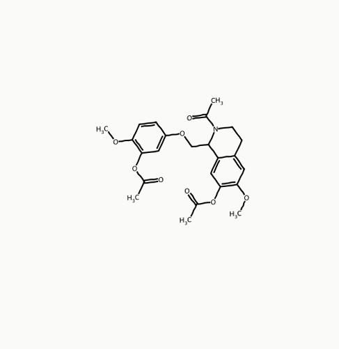 COc1ccc(OCC2c3cc(OC(C)=O)c(OC)cc3CCN2C(C)=O)cc1OC(C)=O